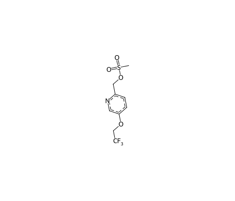 CS(=O)(=O)OCc1ccc(OCC(F)(F)F)cn1